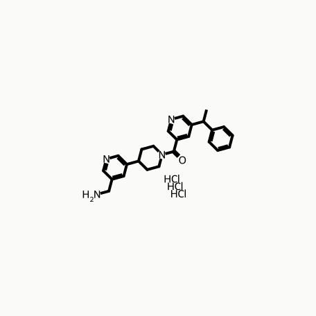 CC(c1ccccc1)c1cncc(C(=O)N2CCC(c3cncc(CN)c3)CC2)c1.Cl.Cl.Cl